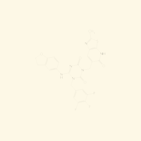 Cc1nc2cc(Cn3c(=O)nc(Nc4ccc5c(c4)CCO5)n(Cc4cc(F)c(F)c(F)c4)c3=O)c(=O)[nH]c2s1